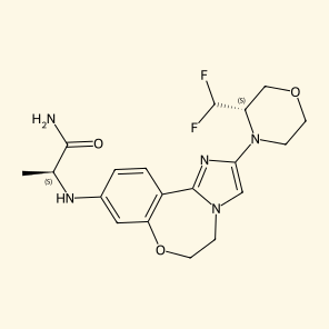 C[C@H](Nc1ccc2c(c1)OCCn1cc(N3CCOC[C@H]3C(F)F)nc1-2)C(N)=O